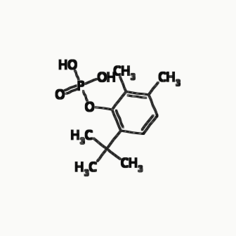 Cc1ccc(C(C)(C)C)c(OP(=O)(O)O)c1C